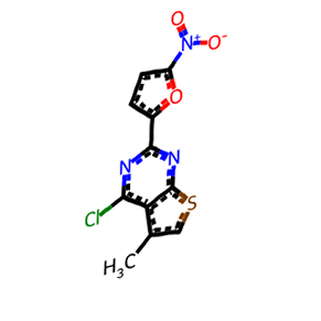 Cc1csc2nc(-c3ccc([N+](=O)[O-])o3)nc(Cl)c12